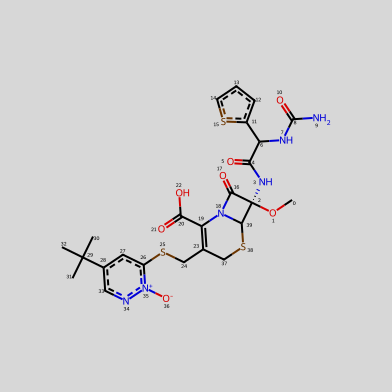 CO[C@]1(NC(=O)C(NC(N)=O)c2cccs2)C(=O)N2C(C(=O)O)=C(CSc3cc(C(C)(C)C)cn[n+]3[O-])CSC21